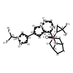 O=C([C@H]1CC1(F)F)N1C2CCC1CN(c1ncnn3cc(-c4cnn(C(F)F)c4)cc13)C2